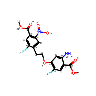 COC(=O)c1cc(F)c(OCCc2cc([N+](=O)[O-])c(C(=O)OC)cc2F)cc1N